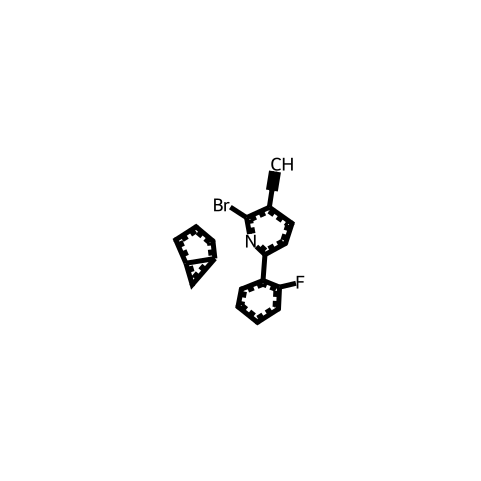 C#Cc1ccc(-c2ccccc2F)nc1Br.c1cc2cc-2c1